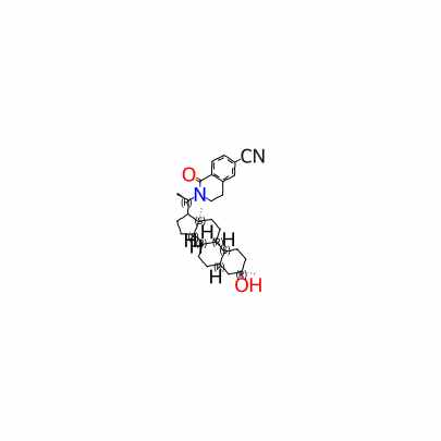 C[C@H](C1CC[C@H]2[C@@H]3CC[C@@H]4C[C@](C)(O)CC[C@@H]4[C@H]3CC[C@]12C)N1CCc2cc(C#N)ccc2C1=O